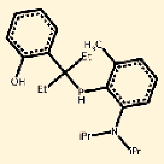 CCC(CC)(Pc1c(C)cccc1N(C(C)C)C(C)C)c1ccccc1O